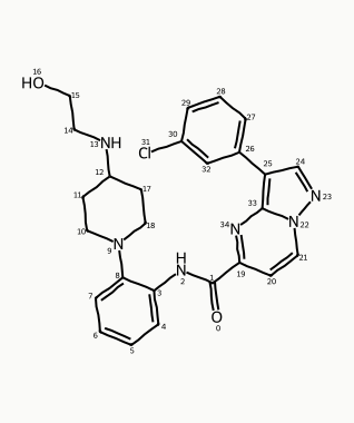 O=C(Nc1ccccc1N1CCC(NCCO)CC1)c1ccn2ncc(-c3cccc(Cl)c3)c2n1